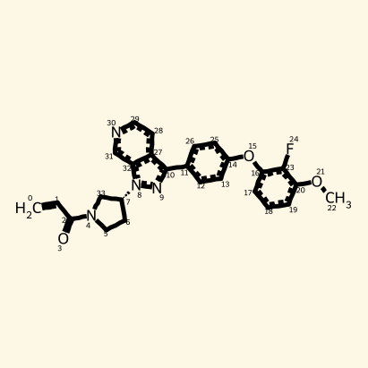 C=CC(=O)N1CC[C@@H](n2nc(-c3ccc(Oc4cccc(OC)c4F)cc3)c3ccncc32)C1